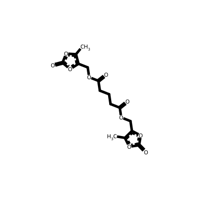 Cc1oc(=O)oc1COC(=O)CCCC(=O)OCc1oc(=O)oc1C